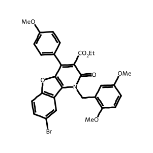 CCOC(=O)c1c(-c2ccc(OC)cc2)c2oc3ccc(Br)cc3c2n(Cc2cc(OC)ccc2OC)c1=O